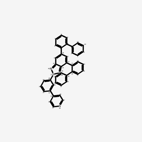 c1ccc(-c2ccccc2-c2cc(-c3ccccc3-c3ccccc3)c3nn(-c4cccc(-c5ccncc5)c4)nc3c2)cc1